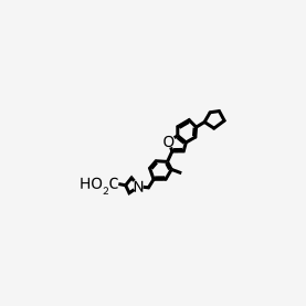 Cc1cc(CN2CC(C(=O)O)C2)ccc1-c1cc2cc(C3CCCC3)ccc2o1